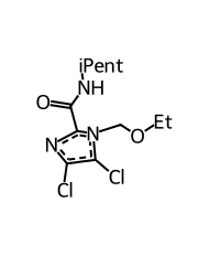 CCCC(C)NC(=O)c1nc(Cl)c(Cl)n1COCC